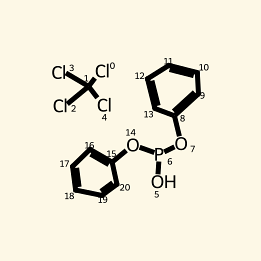 ClC(Cl)(Cl)Cl.OP(Oc1ccccc1)Oc1ccccc1